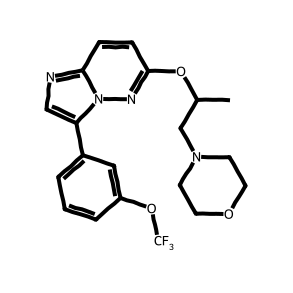 CC(CN1CCOCC1)Oc1ccc2ncc(-c3cccc(OC(F)(F)F)c3)n2n1